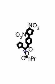 CCCC(=O)O/N=C(\C(=O)c1ccc(-c2ccc([N+](=O)[O-])cc2[N+](=O)[O-])cc1)C1CCCC1